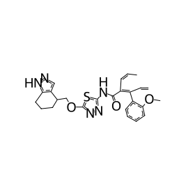 C=C/C(=C(\C=C/C)C(=O)Nc1nnc(OCC2CCCc3[nH]ncc32)s1)c1ccccc1OC